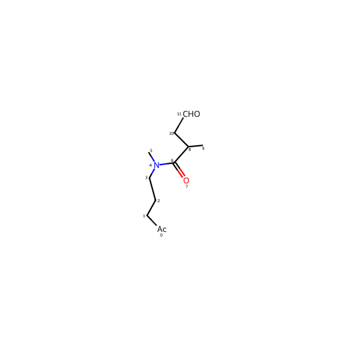 CC(=O)CCCN(C)C(=O)C(C)CC=O